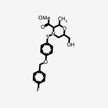 COC(=O)C1C(C)OC(CO)CN1Sc1ccc(OCc2ccc(F)cc2)cc1